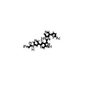 CC(=O)c1ccc(-c2cncc3[nH]c(-c4n[nH]c5cnc(-c6cncc(NC(=O)CC(C)C)c6)c(F)c45)nc23)s1